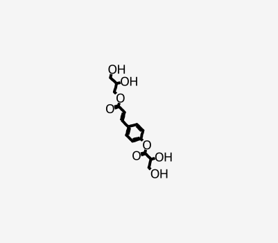 O=C(C=Cc1ccc(OC(=O)C(O)CO)cc1)OCC(O)CO